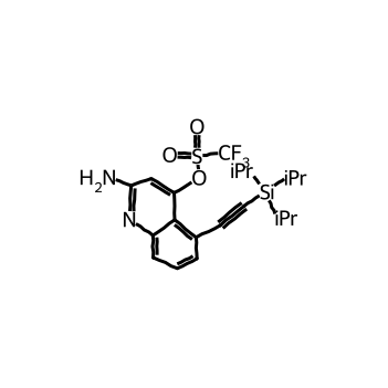 CC(C)[Si](C#Cc1cccc2nc(N)cc(OS(=O)(=O)C(F)(F)F)c12)(C(C)C)C(C)C